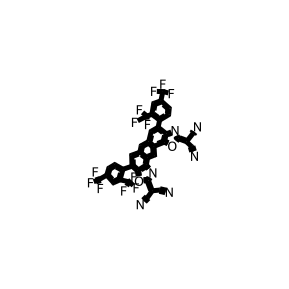 N#CC(C#N)=c1nc2c(o1)c(-c1ccc(C(F)(F)F)cc1C(F)(F)F)cc1cc3cc(-c4ccc(C(F)(F)F)cc4C(F)(F)F)c4nc(=C(C#N)C#N)oc4c3cc12